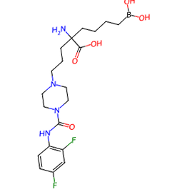 NC(CCCCB(O)O)(CCCN1CCN(C(=O)Nc2ccc(F)cc2F)CC1)C(=O)O